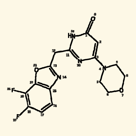 O=c1cc(N2CCOCC2)nc(Cc2nc3ccc(F)c(F)c3o2)[nH]1